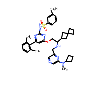 Cc1cccc(C)c1-c1cc(OCC(NCc2cncc(N(C)C3CCC3)n2)C2CC3(CCC3)C2)nc(NS(=O)(=O)c2cccc(C(=O)O)c2)n1